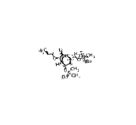 C=CCON1C(=O)N2C[C@H]1[C@@H](O[Si](C)(C)C(C)(C)C)C[C@H]2CO[Si](C)(C)C(C)(C)C